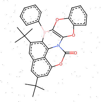 CC(C)(C)c1cc2c3c4c(c(C(C)(C)C)cc3c1)B(c1ccccc1)C1=C(Oc3ccccc3O1)N4C(=O)O2